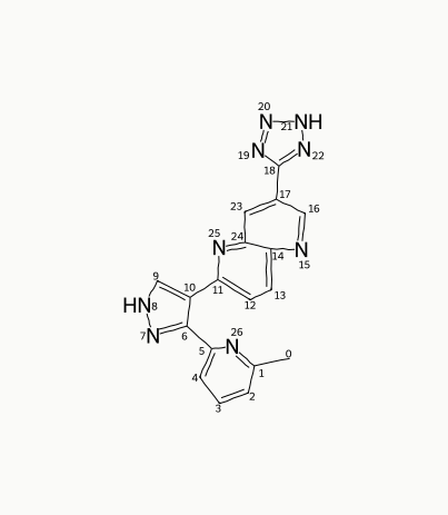 Cc1cccc(-c2n[nH]cc2-c2ccc3ncc(-c4nn[nH]n4)cc3n2)n1